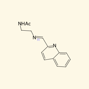 CC(=O)NCC/N=C/c1ccc2ccccc2n1